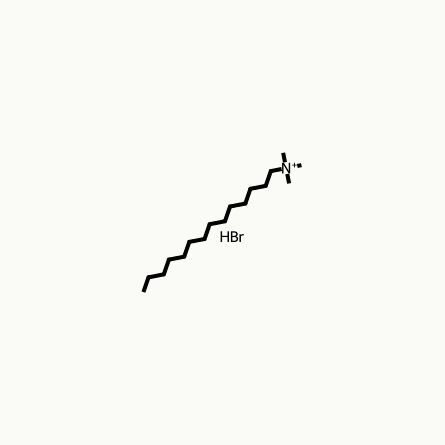 Br.CCCCCCCCCCCCCC[N+](C)(C)C